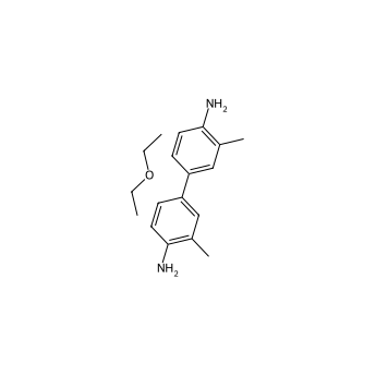 CCOCC.Cc1cc(-c2ccc(N)c(C)c2)ccc1N